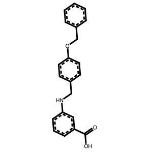 O=C(O)c1cccc(NCc2ccc(OCc3ccccc3)cc2)c1